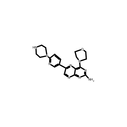 Nc1nc(N2CCOCC2)c2nc(-c3ccc(N4CCNCC4)nc3)cnc2n1